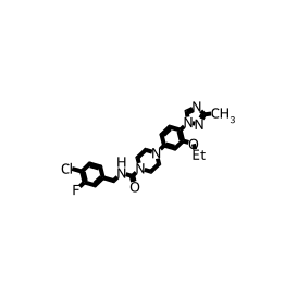 CCOc1cc(N2CCN(C(=O)NCc3ccc(Cl)c(F)c3)CC2)ccc1-n1cnc(C)n1